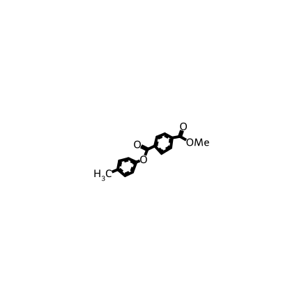 COC(=O)c1ccc(C(=O)Oc2ccc(C)cc2)cc1